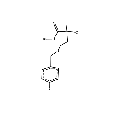 CC(Cl)(CCOCc1ccc(F)cc1)C(=O)OBr